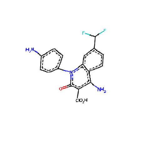 Nc1ccc(-n2c(=O)c(C(=O)O)c(N)c3ccc(C(F)F)cc32)cc1